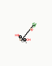 CC1(c2ccc(O)cc2)CSc2cc(O)ccc2C1CCCCCCCCCC[S+]([O-])CCCC(F)(F)C(F)(F)F